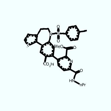 CCCNC(=O)c1ccc(-c2cc3c(cc2C(=O)O)-c2sccc2CCN3S(=O)(=O)c2ccc(C)cc2)c(C(=O)OC)n1